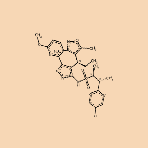 CC[C@H](c1c(C)noc1C)n1c(NS(=O)(=O)[C@@H](C)[C@H](C)c2ncc(Cl)cn2)nnc1-c1cccc(OC)n1